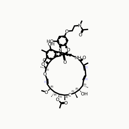 CO[C@H]1/C=C/O[C@@]2(C)Oc3c(C)c(O)c4c(=O)c(c5oc6cc(OCCN(C)C(C)=O)cc(O)c6nc-5c4c3C2=O)NC(=O)/C(C)=C\C=C\[C@H](C)[C@H](O)[C@@H](C)C[C@@H](C)[C@H](OC(C)=O)[C@@H]1C